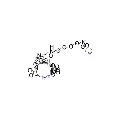 COc1cc2cc(c1Cl)N(C)C(=O)C[C@H](OC(=O)[C@H](C)N(C)C(=O)CCCC(=O)NCCOCCOCCOCCOCCN(C)C(=O)OC1CC/C=C/CCC1)[C@]1(C)O[C@H]1[C@H](C)[C@@H]1C[C@@](O)(NC(=O)O1)[C@H](OC)/C=C/C=C(\C)C2